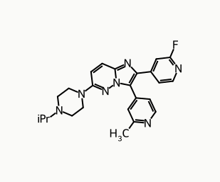 Cc1cc(-c2c(-c3ccnc(F)c3)nc3ccc(N4CCN(C(C)C)CC4)nn23)ccn1